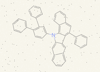 c1ccc(-c2ccc(-n3c4cc5ccccc5cc4c4c(-c5ccccc5)cc5ccccc5c43)cc2-c2ccccc2)cc1